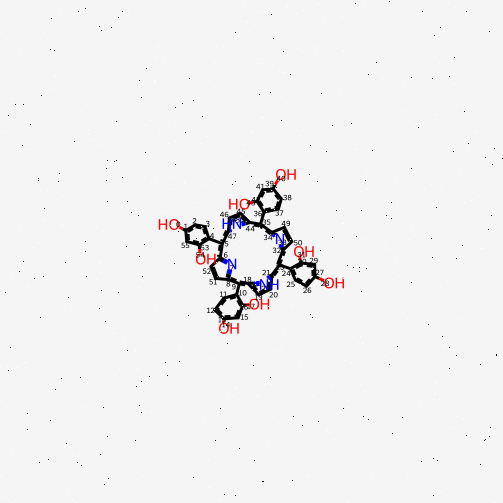 Oc1ccc(-c2c3nc(c(-c4ccc(O)cc4O)c4ccc([nH]4)c(-c4ccc(O)cc4O)c4nc(c(-c5ccc(O)cc5O)c5ccc2[nH]5)C=C4)C=C3)c(O)c1